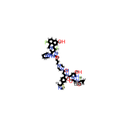 C#Cc1c(F)ccc2cc(O)cc(-c3ncc4c(N5CC6CCC(C5)N6)nc(OCCCN5CCN(C(=O)CC(NC(=O)C6C[C@@H](O)CN6C(=O)[C@@H](NC(=O)C6(F)CC6)C(C)(C)C)c6ccc(-c7scnc7C)cc6)CC5)nc4c3F)c12